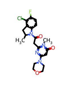 CC1Cc2c(ccc(F)c2Cl)N1C(=O)Cc1nc(N2CCOCC2)cc(=O)n1C